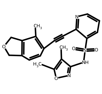 Cc1onc(NS(=O)(=O)c2cccnc2C#Cc2ccc3c(c2C)COC3)c1C